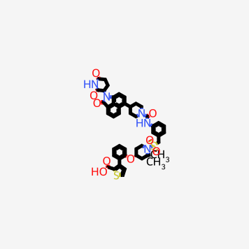 CC1(C)C[C@@H](Oc2ccccc2-c2ccsc2C(=O)O)CCN1S(=O)(=O)Cc1cccc(NC(=O)N2CCC(c3ccc4c5c(cccc35)C(=O)N4C3CCC(=O)NC3=O)CC2)c1